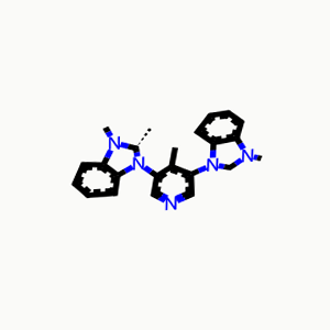 Cc1c(N2CN(C)c3ccccc32)cncc1N1c2ccccc2N(C)[C@@H]1C